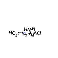 O=C(O)/C=C/c1nc(Cl)n[nH]1